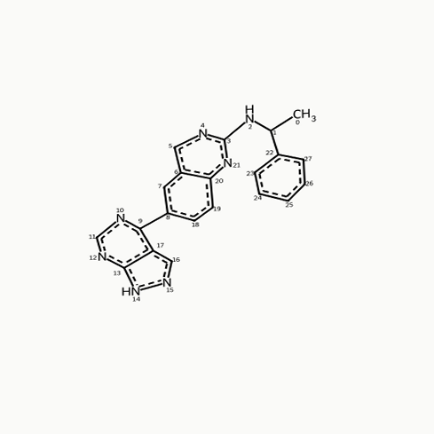 CC(Nc1ncc2cc(-c3ncnc4[nH]ncc34)ccc2n1)c1ccccc1